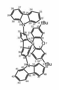 CC(C)(C)c1ccc2c(c1)Oc1cc(C(C)(C)C)ccc1[Si]21c2cc(-n3c4ccccc4c4ccccc43)ccc2-c2ccc(-n3c4ccccc4c4ccccc43)cc21